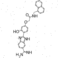 N=C(N)c1ccc2nc(-c3ccc(OCC(=O)NCc4cccc5ccccc45)cc3O)[nH]c2c1